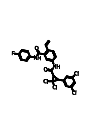 C=Cc1ccc(NC(=O)C2C(c3cc(Cl)cc(Cl)c3)C2(Cl)Cl)cc1C(=O)Nc1ccc(F)cc1